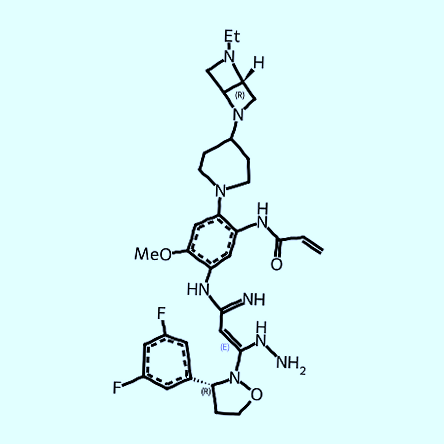 C=CC(=O)Nc1cc(NC(=N)/C=C(\NN)N2OCC[C@@H]2c2cc(F)cc(F)c2)c(OC)cc1N1CCC(N2C[C@@H]3C2CN3CC)CC1